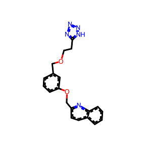 c1cc(COCCc2nnn[nH]2)cc(OCc2ccc3ccccc3n2)c1